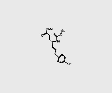 COC(=O)CC[C@@H](/C=C/Cc1ccc(Br)cc1)NC(=O)OC(C)(C)C